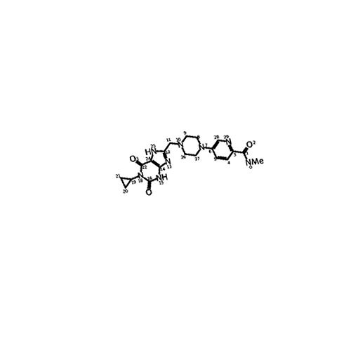 CNC(=O)c1ccc(N2CCN(Cc3nc4[nH]c(=O)n(C5CC5)c(=O)c4[nH]3)CC2)cn1